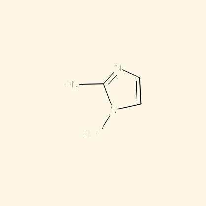 Cn1ccnc1N=O